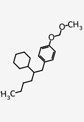 CCCCC(Cc1ccc(OCOC)cc1)C1CCCCC1